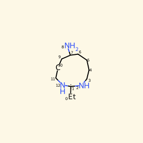 CC[C]1NCCCCC(N)CCCN1